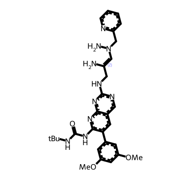 COc1cc(OC)cc(-c2cc3cnc(NC/C(N)=C/N(N)Cc4ccccn4)nc3nc2NC(=O)NC(C)(C)C)c1